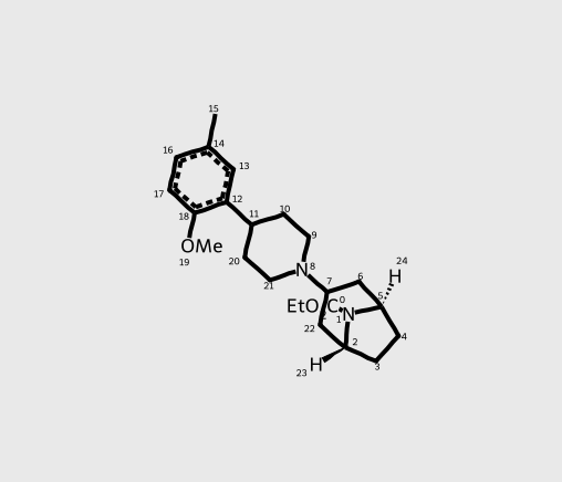 CCOC(=O)N1[C@@H]2CC[C@@H]1CC(N1CCC(c3cc(C)ccc3OC)CC1)C2